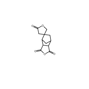 O=C1CC2(CO1)CC1CC2C2C(=O)OC(=O)C12